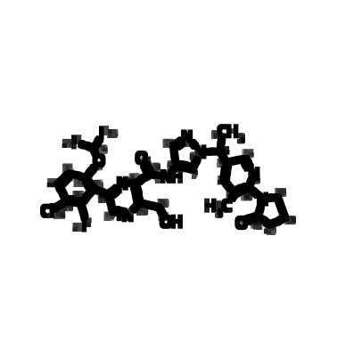 Cc1cc(C(C)n2cc(NC(=O)c3nc(-c4c(OC(F)F)ccc(Cl)c4F)cnc3CO)cn2)cnc1N1CCCC1=O